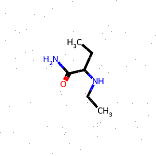 CCNC(CC)C(N)=O